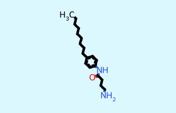 CCCCCCCCCc1ccc(NC(=O)CCCN)cc1